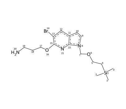 C[Si](C)(C)CCOCn1ccc2cc(Br)c(OCCCN)nc21